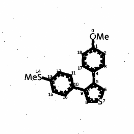 COc1ccc(-c2cscc2-c2ccc(SC)cc2)cc1